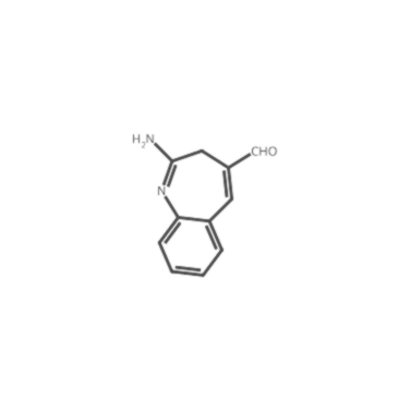 NC1=Nc2ccccc2C=C(C=O)C1